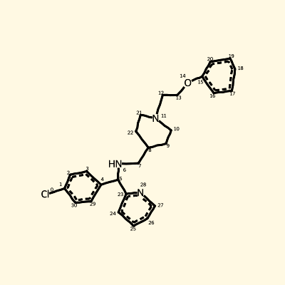 Clc1ccc(C(NCC2CCN(CCOc3ccccc3)CC2)c2ccccn2)cc1